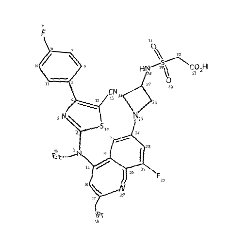 CCN(c1nc(-c2ccc(F)cc2)c(C#N)s1)c1cc(C(C)C)nc2c(F)cc(N3CC(NS(=O)(=O)CC(=O)O)C3)cc12